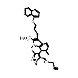 C=CCOCc1c(-c2c(C)ccc3c(CCCOc4cccc5ccccc45)c(C(=O)O)n(C)c23)c(C)nn1C